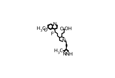 COc1ccc2nccc([C@@H](F)CCC3CCN(CC#Cc4c[nH]nc4C)CC3CCC(=O)O)c2c1